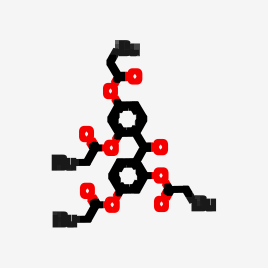 CCC(C)CC(=O)Oc1ccc(C(=O)c2ccc(OC(=O)CC(C)CC)cc2OC(=O)CC(C)CC)c(OC(=O)CC(C)CC)c1